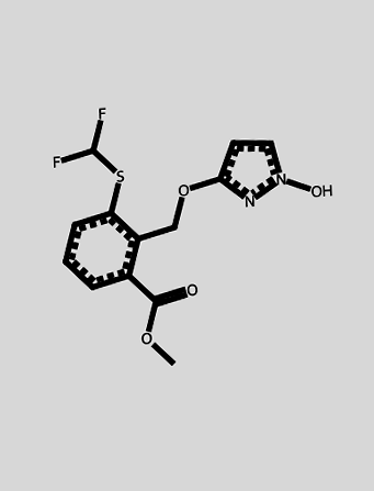 COC(=O)c1cccc(SC(F)F)c1COc1ccn(O)n1